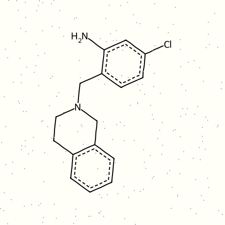 Nc1cc(Cl)ccc1CN1CCc2ccccc2C1